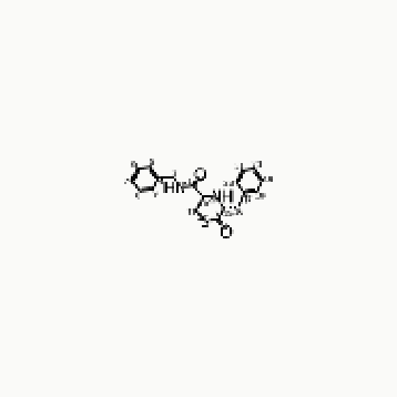 O=C(NCc1ccccc1)[C@@H]1CSC(=O)[C@@H](Cc2ccccc2)N1